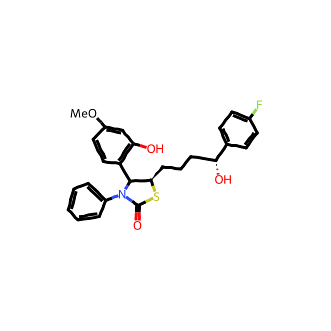 COc1ccc(C2[C@@H](CCC[C@@H](O)c3ccc(F)cc3)SC(=O)N2c2ccccc2)c(O)c1